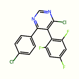 Fc1cc(F)c(-c2c(Cl)ncnc2-c2ccc(Cl)cc2)c(F)c1